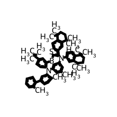 Cc1cc2c3c(c1)N(c1ccc4c(c1)C(C)(C)CCC4(C)C)c1c(sc4cc5c(cc14)C(C)(C)CCC5(C)C)B3c1cc(C(C)(C)C)ccc1N2c1cc(-c2ccccc2C)ccc1C